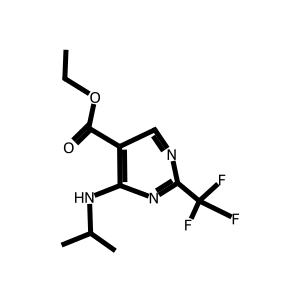 CCOC(=O)c1cnc(C(F)(F)F)nc1NC(C)C